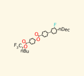 CCCCCCCCCCc1ccc(-c2ccc(C(=O)Oc3ccc(C(=O)OC(CCCC)C(F)(F)F)cc3)cc2)cc1F